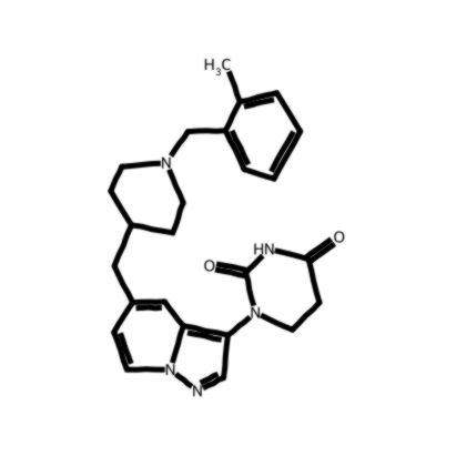 Cc1ccccc1CN1CCC(Cc2ccn3ncc(N4CCC(=O)NC4=O)c3c2)CC1